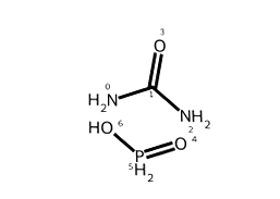 NC(N)=O.O=[PH2]O